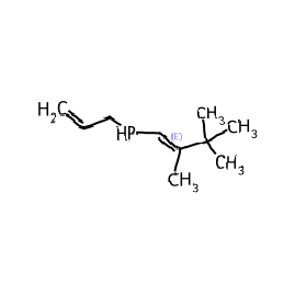 C=CCP/C=C(\C)C(C)(C)C